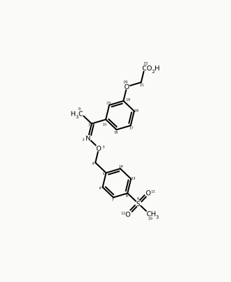 CC(=NOCc1ccc(S(C)(=O)=O)cc1)c1cccc(OCC(=O)O)c1